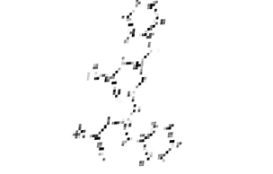 O=C(O)CN(CCCN(CC(=O)O)Cc1ccccn1)Cc1ccccn1